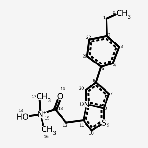 CCc1ccc(-c2cc3scc(CC(=O)[N+](C)(C)O)n3c2)cc1